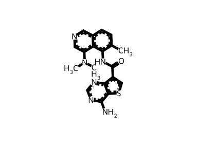 Cc1ccc2cncc(N(C)C)c2c1NC(=O)c1csc2c(N)ncnc12